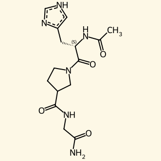 CC(=O)N[C@@H](Cc1c[nH]cn1)C(=O)N1CCC(C(=O)NCC(N)=O)C1